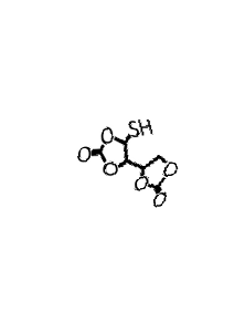 O=C1OCC(C2OC(=O)OC2S)O1